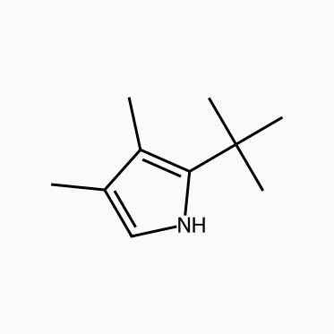 Cc1c[nH]c(C(C)(C)C)c1C